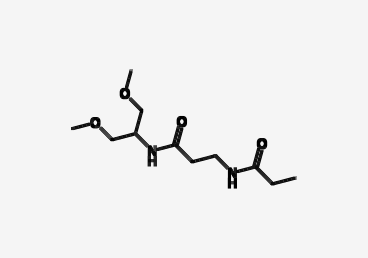 CCC(=O)NCCC(=O)NC(COC)COC